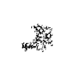 C=C[C@@H]1C[C@]1(NC(=O)[C@@H]1C[C@@H](Oc2ncc(OC)c3ccc(Cl)cc23)CN1C(=O)[C@H](Nc1cccc(F)c1)C(C)(C)C)C(=O)NS(=O)(=O)C1CC1